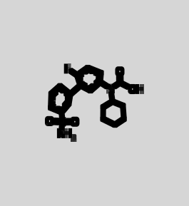 NS(=O)(=O)c1cccc(-c2cc(N(C(=O)O)C3CCCCC3)ccc2F)c1